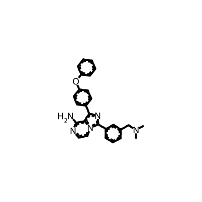 CN(C)Cc1cccc(-c2nc(-c3ccc(Oc4ccccc4)cc3)c3c(N)nccn23)c1